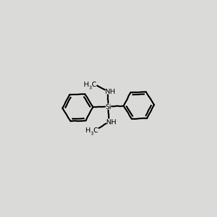 CN[Si](NC)(c1ccccc1)c1ccccc1